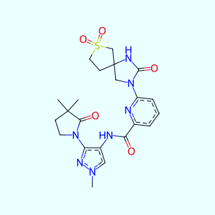 Cn1cc(NC(=O)c2cccc(N3CC4(CCS(=O)(=O)C4)NC3=O)n2)c(N2CCC(C)(C)C2=O)n1